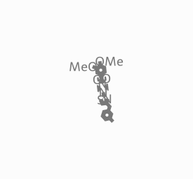 COc1ccc(S(=O)(=O)N2CCN(c3nc(Cc4cccc(C)c4)cs3)CC2)cc1OC